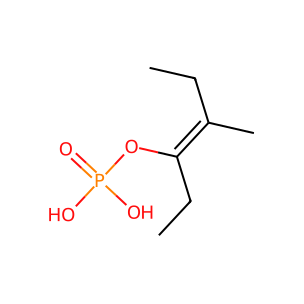 CCC(C)=C(CC)OP(=O)(O)O